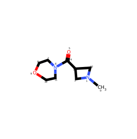 CN1CC(C(=O)N2CCOCC2)C1